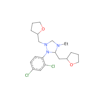 CCN1CN(CC2CCCO2)N(c2ccc(Cl)cc2Cl)C1CC1CCCO1